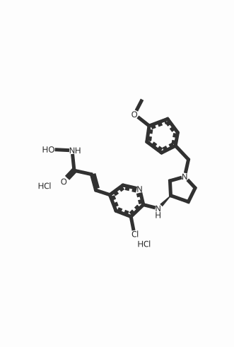 COc1ccc(CN2CC[C@@H](Nc3ncc(C=CC(=O)NO)cc3Cl)C2)cc1.Cl.Cl